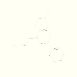 CON=CC1CC(c2ccc(C)cc2)Cc2nc(N)ncc21